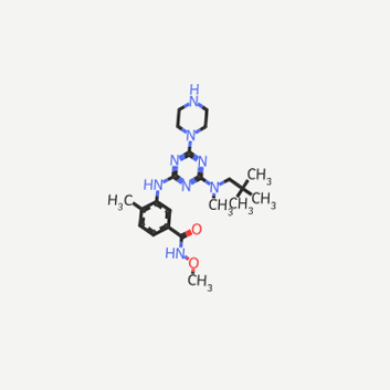 CONC(=O)c1ccc(C)c(Nc2nc(N(C)CC(C)(C)C)nc(N3CCNCC3)n2)c1